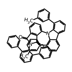 Cc1cccc(-c2cccc3c4cccc(-c5cccc(C)c5)c4n(-c4cccc5c4C(=O)N(c4c(-c6ccccc6)cccc4-c4ccccc4)C5=O)c23)c1